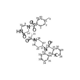 Cc1ccc(S(=O)(=O)N2C=CNC(=O)[C@H]2CC(=O)N2CCC(N(C(=O)c3ccccc3)c3ccccc3)CC2)cc1